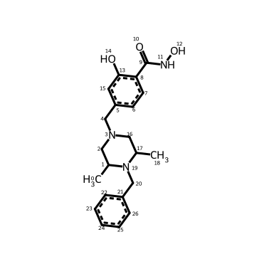 CC1CN(Cc2ccc(C(=O)NO)c(O)c2)CC(C)N1Cc1ccccc1